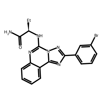 CC[C@@H](Nc1nc2ccccc2c2nc(-c3cccc(Br)c3)nn12)C(N)=O